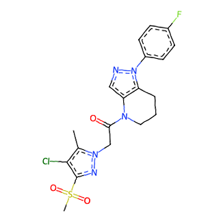 Cc1c(Cl)c(S(C)(=O)=O)nn1CC(=O)N1CCCc2c1cnn2-c1ccc(F)cc1